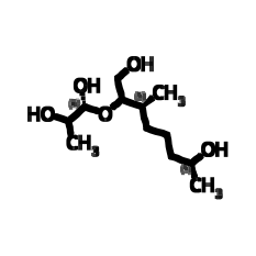 CC(O)[C@H](O)OC(CO)[C@@H](C)CCC[C@H](C)O